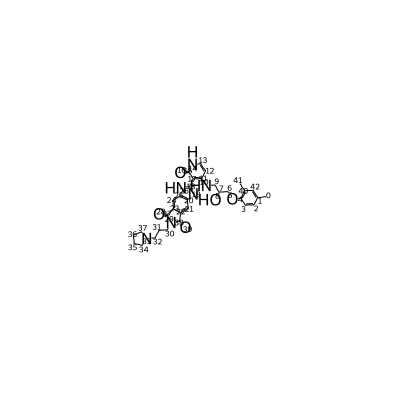 Cc1ccc(OCC(O)CNc2cc[nH]c(=O)c2-c2nc3cc4c(cc3[nH]2)C(=O)N(CCCN2CCCC2)C4=O)c(C)c1